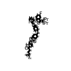 CC(C)N(C(=O)c1cc(F)ccc1Oc1nncnc1N1CC2(CCN(Cc3ccc(S(=O)(=O)N4C[C@H]5C4CN5C(=O)/C=C/CN(C)C)cc3)CC2)C1)C(C)C